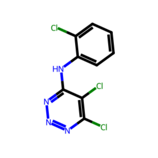 Clc1ccccc1Nc1nnnc(Cl)c1Cl